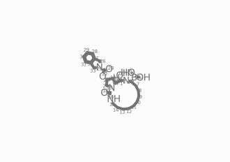 O=C1N[C@H](B(O)O)CCCCCCCCCNC(=O)N2C[C@H](OC(=O)N3Cc4ccccc4C3)C[C@@H]12